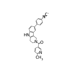 [C-]#[N+]c1ccc(-c2ccc3[nH]c4c(c3c2)CN(C(=O)c2ccc(C)nc2)CC4)cc1